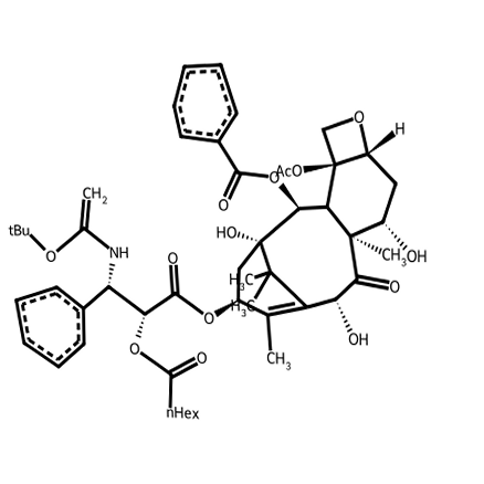 C=C(N[C@@H](c1ccccc1)[C@@H](OC(=O)CCCCCC)C(=O)O[C@H]1C[C@@]2(O)[C@@H](OC(=O)c3ccccc3)C3[C@](C)(C(=O)[C@H](O)C(=C1C)C2(C)C)[C@@H](O)C[C@H]1OC[C@@]31OC(C)=O)OC(C)(C)C